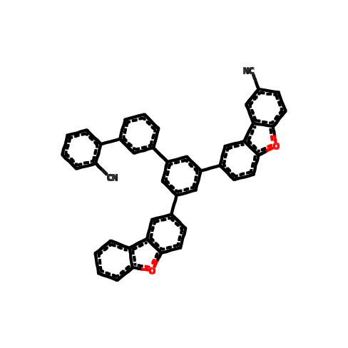 N#Cc1ccc2oc3ccc(-c4cc(-c5cccc(-c6ccccc6C#N)c5)cc(-c5ccc6oc7ccccc7c6c5)c4)cc3c2c1